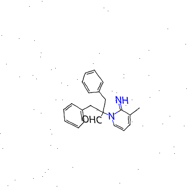 Cc1cccn(C(C=O)(Cc2ccccc2)Cc2ccccc2)c1=N